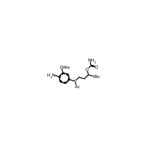 COc1cc(N(CCC(OC(N)=O)C(C)(C)C)C(C)=O)ccc1N